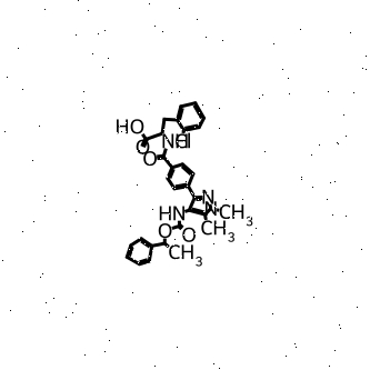 Cc1c(NC(=O)OC(C)c2ccccc2)c(-c2ccc(C(=O)NC(Cc3ccccc3Cl)C(=O)O)cc2)nn1C